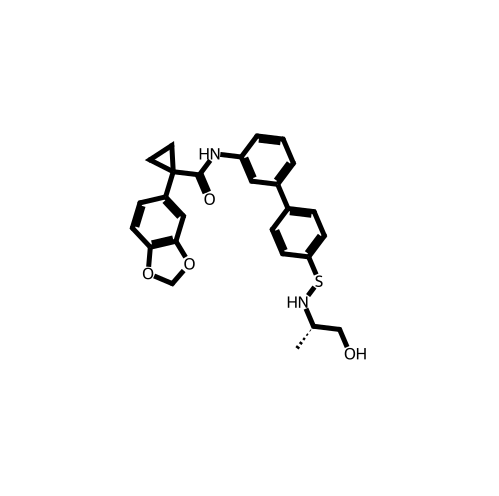 C[C@@H](CO)NSc1ccc(-c2cccc(NC(=O)C3(c4ccc5c(c4)OCO5)CC3)c2)cc1